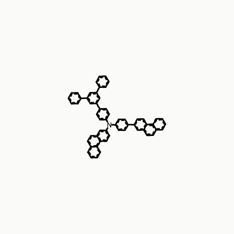 c1ccc(-c2cc(-c3ccccc3)cc(-c3ccc(N(c4ccc(-c5ccc6c(ccc7ccccc76)c5)cc4)c4ccc5c(ccc6ccccc65)c4)cc3)c2)cc1